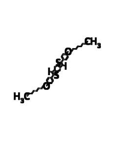 CCCCCCCCOc1ccc(-c2sc3cc4c(I)c(-c5ccc(OCCCCCCCC)cc5)sc4cc3c2I)cc1